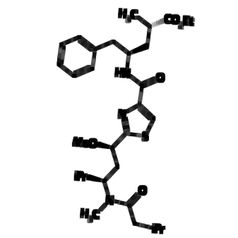 CCOC(=O)[C@@H](C)C[C@H](Cc1ccccc1)NC(=O)c1csc([C@@H](C[C@H](C(C)C)N(C)C(=O)CC(C)C)OC)n1